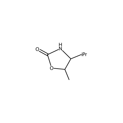 CC(C)C1NC(=O)OC1C